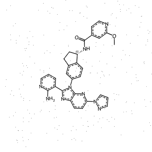 COc1cc(C(=O)N[C@H]2CCc3cc(-n4c(-c5cccnc5N)nc5ccc(-n6cccn6)nc54)ccc32)ccn1